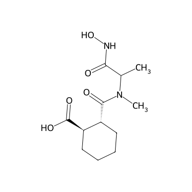 CC(C(=O)NO)N(C)C(=O)[C@@H]1CCCC[C@H]1C(=O)O